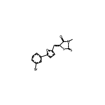 CN1C(=O)C(=Cc2ccc(-c3cccc(Br)c3)o2)SC1=S